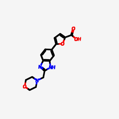 O=C(O)c1ccc(-c2ccc3nc(CN4CCOCC4)[nH]c3c2)o1